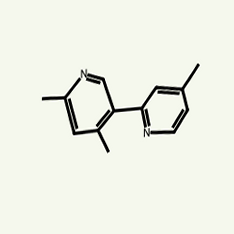 Cc1ccnc(-c2cnc(C)cc2C)c1